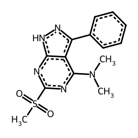 CN(C)c1nc(S(C)(=O)=O)nc2[nH]nc(-c3ccccc3)c12